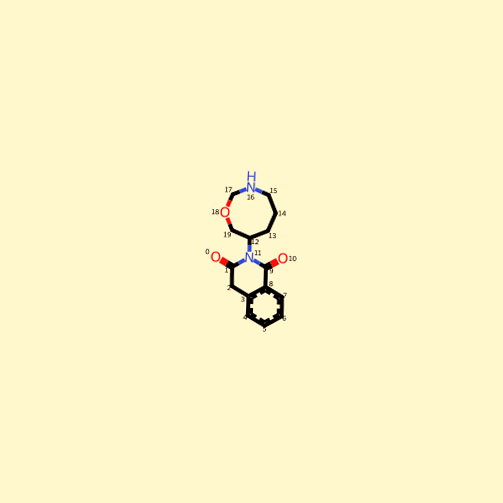 O=C1Cc2ccccc2C(=O)N1C1CCCNCOC1